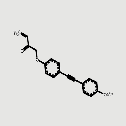 C=CC(=O)COc1ccc(C#Cc2ccc(OC)cc2)cc1